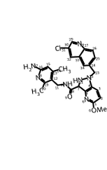 COc1ccc2c(n1)C(C(=O)NCc1c(C)cc(N)nc1C)NN2Cc1ccc2ncc(Cl)cc2c1